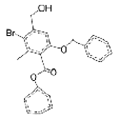 Cc1c(Br)c(CO)cc(OCc2ccccc2)c1C(=O)Oc1ccccc1